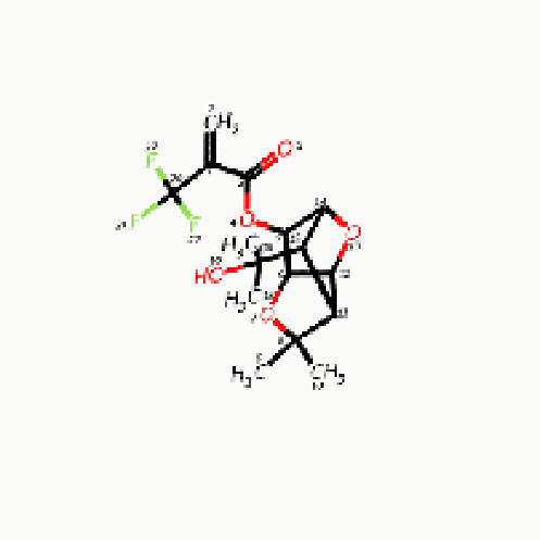 C=C(C(=O)OC1C2OC(C)(C)C3C2OC1C3C(C)(C)O)C(F)(F)F